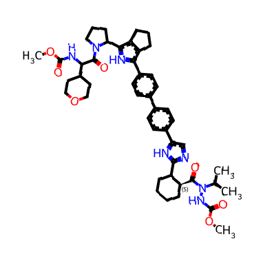 COC(=O)NC(C(=O)N1CCCC1c1[nH]c(-c2ccc(-c3ccc(-c4cnc(C5CCCC[C@@H]5C(=O)N(NC(=O)OC)C(C)C)[nH]4)cc3)cc2)c2c1CCC2)C1CCOCC1